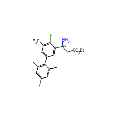 CCOC(=O)C[C@H](N)c1cc(-c2c(C)cc(F)cc2C)cc(C(F)(F)F)c1F